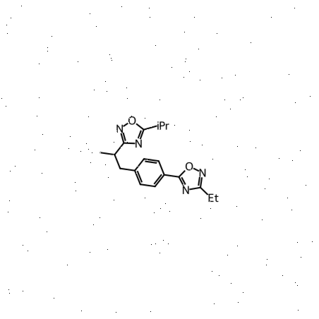 CCc1noc(-c2ccc(CC(C)c3noc(C(C)C)n3)cc2)n1